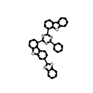 c1ccc(-c2nc(-c3cccc4c3oc3ccccc34)nc(-c3cccc4oc5cc(-c6nc7ccccc7o6)ccc5c34)n2)cc1